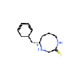 S=C1CN[C@H](CC2C=CC=CC2)CCCN1